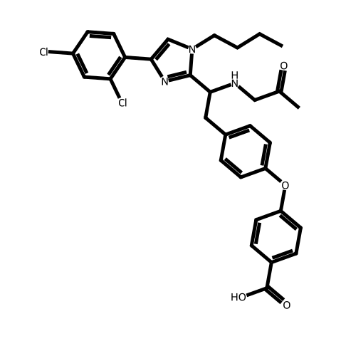 CCCCn1cc(-c2ccc(Cl)cc2Cl)nc1C(Cc1ccc(Oc2ccc(C(=O)O)cc2)cc1)NCC(C)=O